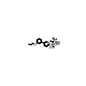 CCCOc1cccc(-c2ccc[n+](CC(P(C)(=O)O)P(=O)(O)O)c2)c1